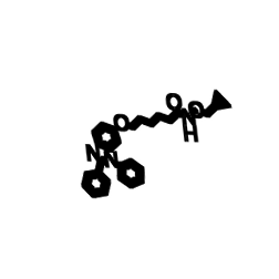 O=C(CCCCCOc1ccc2nc(-c3ccccc3)n(-c3ccccc3)c2c1)NOCC1CC1